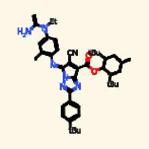 C=C(N)N(CC)c1ccc(/N=C2\C(C#N)=C(C(=O)OC3C(C(C)(C)C)CC(C)CC3C(C)(C)C)c3nc(-c4ccc(C(C)(C)C)cc4)nn32)c(C)c1